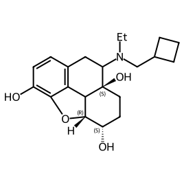 CCN(CC1CCC1)C1Cc2ccc(O)c3c2C2[C@@H](O3)[C@@H](O)CC[C@]21O